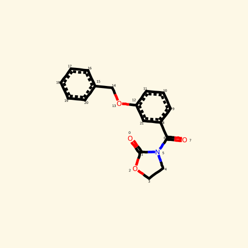 O=C1OCCN1C(=O)c1cccc(OCc2ccccc2)c1